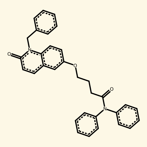 O=C(CCCOc1ccc2c(ccc(=O)n2Cc2ccccc2)c1)N(c1ccccc1)c1ccccc1